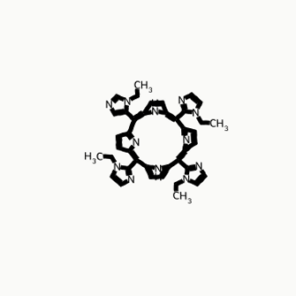 CCn1cncc1-c1c2nc(c(-c3nccn3CC)c3ccc([nH]3)c(-c3nccn3CC)c3nc(c(-c4nccn4CC)c4ccc1[nH]4)C=C3)C=C2